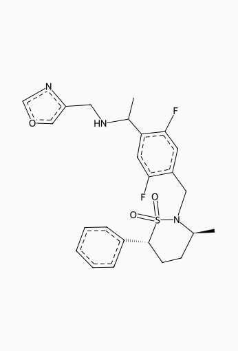 CC(NCc1cocn1)c1cc(F)c(CN2[C@@H](C)CC[C@H](c3ccccc3)S2(=O)=O)cc1F